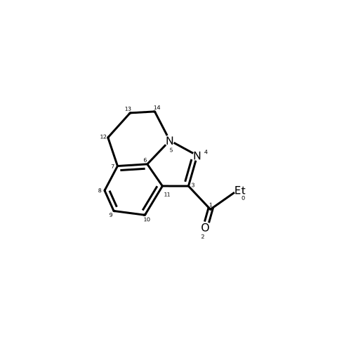 CCC(=O)c1nn2c3c(cccc13)CCC2